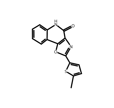 Cc1ccc(-c2nc3c(=O)[nH]c4ccccc4c3o2)s1